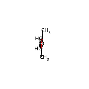 CCCCCCCCCCCCCCCCOCCCCCCCCCCCCCCCC.OCCOCCOCCOCCO